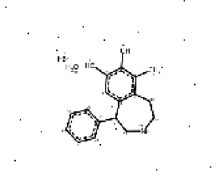 Br.Cc1c(O)c(O)cc2c1CCNCC2c1ccccc1.O